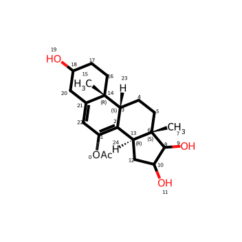 CC(=O)OC1=C2[C@@H](CC[C@]3(C)C(O)C(O)C[C@@H]23)[C@@]2(C)CCC(O)CC2=C1